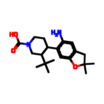 CC1(C)Cc2cc(N)c(C3CCN(C(=O)O)CC3C(C)(C)C)cc2O1